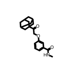 CNC(=O)c1cccc(OCC(=O)C23CC4CC(CC(C4)C2)C3)c1